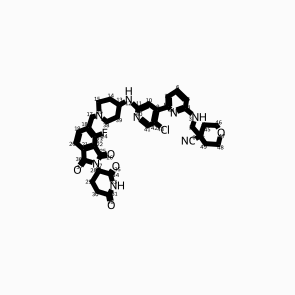 N#CC1(CNc2cccc(-c3cc(NC4CCN(Cc5ccc6c(c5F)C(=O)N(C5CCC(=O)NC5=O)C6=O)CC4)ncc3Cl)n2)CCOCC1